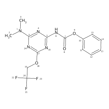 CN(C)c1nc(NC(=O)Oc2ccccc2)nc(OCC(F)(F)F)n1